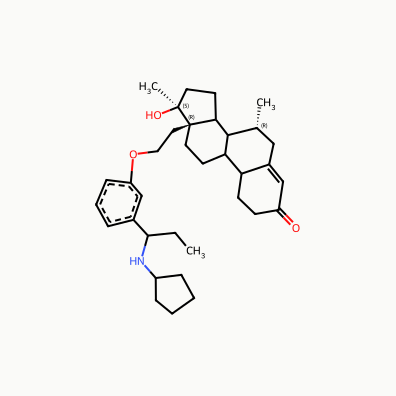 CCC(NC1CCCC1)c1cccc(OCC[C@]23CCC4C5CCC(=O)C=C5C[C@@H](C)C4C2CC[C@]3(C)O)c1